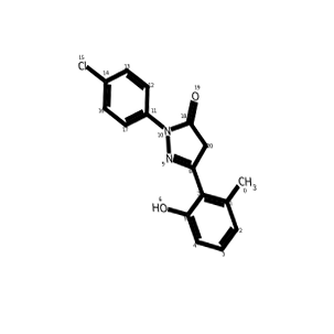 Cc1cccc(O)c1C1=NN(c2ccc(Cl)cc2)C(=O)C1